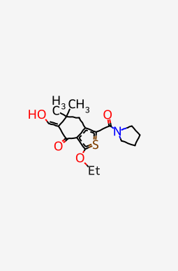 CCOc1sc(C(=O)N2CCCC2)c2c1C(=O)C(=CO)C(C)(C)C2